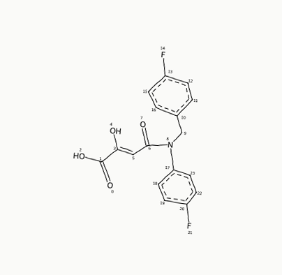 O=C(O)/C(O)=C/C(=O)N(Cc1ccc(F)cc1)c1ccc(F)cc1